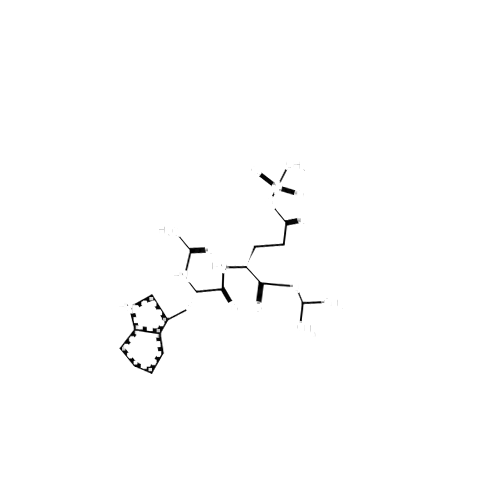 CC(=O)N[C@@H](Cc1c[nH]c2ccccc12)C(=O)N[C@@H](CCC(=O)OS(C)(=O)=O)C(=O)OC(C)C